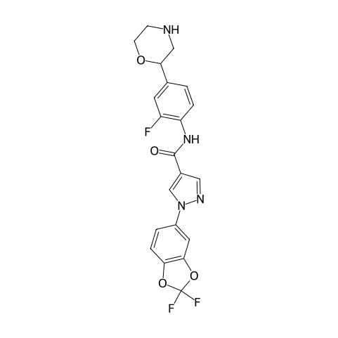 O=C(Nc1ccc(C2CNCCO2)cc1F)c1cnn(-c2ccc3c(c2)OC(F)(F)O3)c1